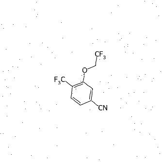 N#Cc1ccc(C(F)(F)F)c(OCC(F)(F)F)c1